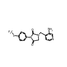 Nc1cnccc1CN1CC(=O)N(c2ccc(SC(F)(F)F)cc2)C1=O